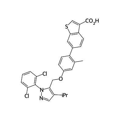 Cc1cc(OCc2c(C(C)C)cnn2-c2c(Cl)cccc2Cl)ccc1-c1ccc2c(C(=O)O)csc2c1